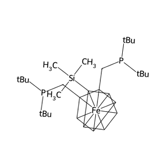 CC(C)(C)P(C[C]12[CH]3[CH]4[CH]5[C]1(CP(C(C)(C)C)C(C)(C)C)[Fe]43521678[CH]2[CH]1[CH]6[C]7([Si](C)(C)C)[CH]28)C(C)(C)C